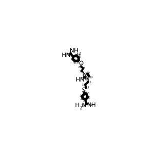 N=C(N)c1ccc(OCCCn2ccn(CCCSc3ccc(C(=N)N)cc3)c2=N)cc1